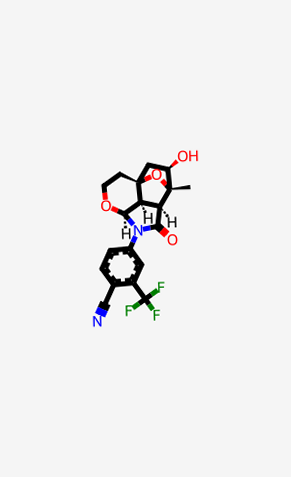 C[C@]12O[C@@]3(CCO[C@H]4[C@@H]3[C@@H]1C(=O)N4c1ccc(C#N)c(C(F)(F)F)c1)C[C@H]2O